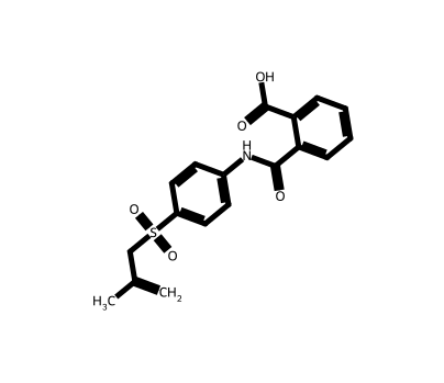 C=C(C)CS(=O)(=O)c1ccc(NC(=O)c2ccccc2C(=O)O)cc1